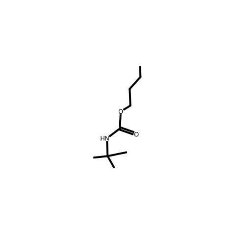 CCCCOC(=O)NC(C)(C)C